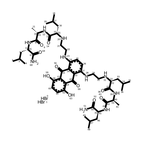 Br.Br.CC(C)C[C@H](NC(=O)[C@H](C)NC(=O)[C@H](CC(C)C)NCCNc1ccc(NCCN[C@@H](CC(C)C)C(=O)N[C@@H](C)C(=O)N[C@@H](CC(C)C)C(N)=O)c2c1C(=O)c1c(O)ccc(O)c1C2=O)C(N)=O